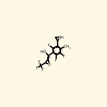 Cc1c(F)c(F)c(/C(O)=C2\OC2C(F)(F)F)c(F)c1C1CN1